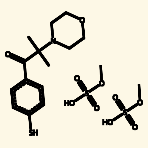 CC(C)(C(=O)c1ccc(S)cc1)N1CCOCC1.COS(=O)(=O)O.COS(=O)(=O)O